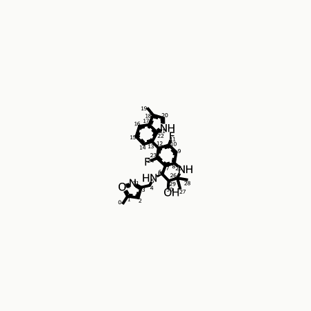 Cc1cc(CN[C@H]2c3c(cc(F)c(-c4cccc5c(C)c[nH]c45)c3F)NC(C)(C)C2O)no1